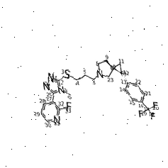 Cn1c(SCCCN2CC[C@]3(C[C@@H]3c3ccc(C(F)(F)F)cc3)C2)nnc1-c1cccnc1F